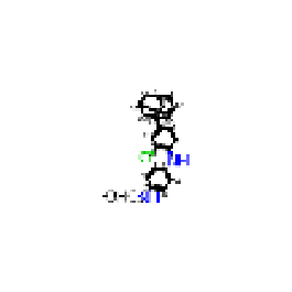 O=[C]Nc1ccc(Nc2ccc(C34CC5CC(CC(C5)C3)C4)cc2Cl)cc1